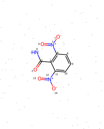 [NH]C(=O)c1c([N+](=O)[O-])cccc1[N+](=O)[O-]